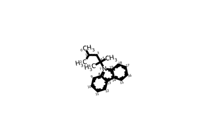 CC(C)CC(C)(C)n1c2ccccc2c2ccccc21